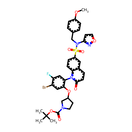 COc1ccc(CN(c2ccon2)S(=O)(=O)c2ccc3c(ccc(=O)n3-c3cc(F)c(Br)cc3OC3CCN(C(=O)OC(C)(C)C)C3)c2)cc1